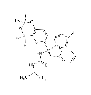 CC(C)NC(=O)N[C@](Cc1ccccc1)(c1ccc2c(c1)C(F)(F)OC(F)(F)O2)c1ccc(I)cn1